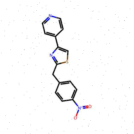 O=[N+]([O-])c1ccc(Cc2nc(-c3ccncc3)cs2)cc1